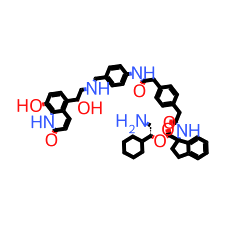 NC[C@H](OC(=O)C1(NC(=O)Cc2ccc(CC(=O)Nc3ccc(CNC[C@H](O)c4ccc(O)c5[nH]c(=O)ccc45)cc3)cc2)CCc2ccccc21)C1CCCCC1